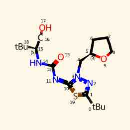 CC(C)(C)c1nn(C[C@H]2CCCO2)c(=NC(=O)N[C@H](CO)C(C)(C)C)s1